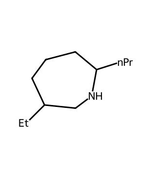 CCCC1CCCC(CC)CN1